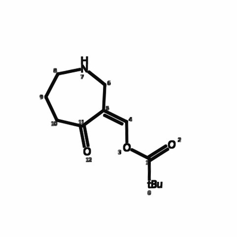 CC(C)(C)C(=O)OC=C1CNCCCC1=O